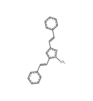 ClC(Cl)(Cl)n1nc(C=Cc2ccccc2)cc1C=Cc1ccccc1